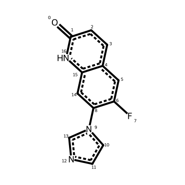 O=c1ccc2cc(F)c(-n3ccnc3)cc2[nH]1